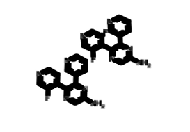 Nc1cnc(-c2c(F)cncc2F)c(-c2cccnc2)n1.Nc1cnc(-c2ccncc2F)c(-c2cccnc2)n1